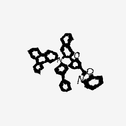 c1ccc(-c2ccc(N(c3ccc4c5ccccc5c5ccccc5c4c3)c3cc4ccccc4c4oc5cc(-c6nc7ccccc7o6)ccc5c34)cc2)cc1